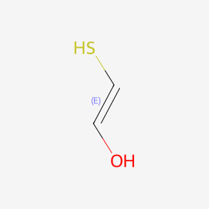 O/C=C/S